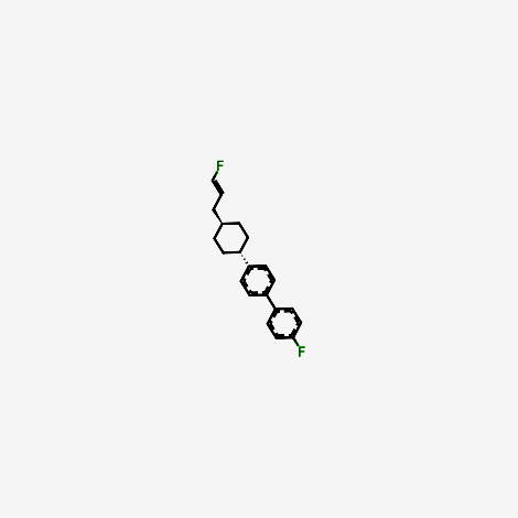 F/C=C/C[C@H]1CC[C@H](c2ccc(-c3ccc(F)cc3)cc2)CC1